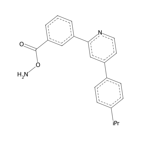 CC(C)c1ccc(-c2ccnc(-c3cccc(C(=O)ON)c3)c2)cc1